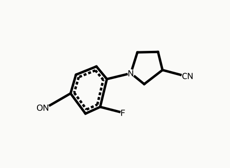 N#CC1CCN(c2ccc(N=O)cc2F)C1